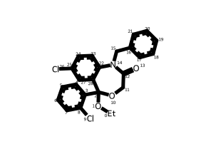 CCOC1(c2ccccc2Cl)OCC(=O)N(Cc2ccccc2)c2ccc(Cl)cc21